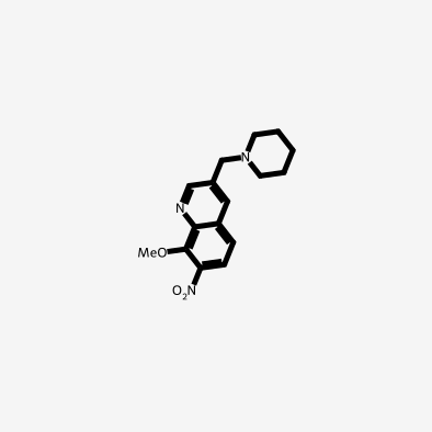 COc1c([N+](=O)[O-])ccc2cc(CN3CCCCC3)cnc12